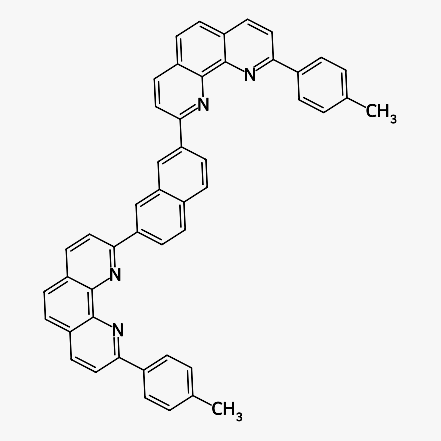 Cc1ccc(-c2ccc3ccc4ccc(-c5ccc6ccc(-c7ccc8ccc9ccc(-c%10ccc(C)cc%10)nc9c8n7)cc6c5)nc4c3n2)cc1